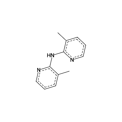 Cc1cccnc1Nc1ncccc1C